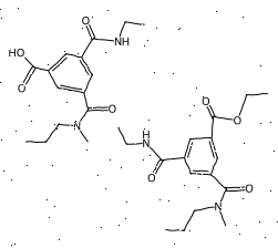 CCCN(C)C(=O)c1cc(C(=O)NCC)cc(C(=O)OCC)c1.CCCN(C)C(=O)c1cc(C(=O)O)cc(C(=O)NCC)c1